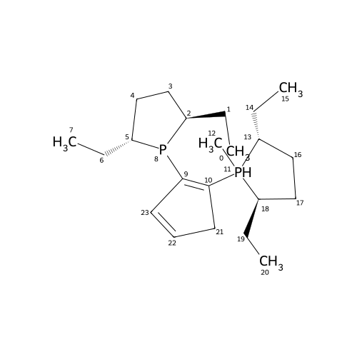 CC[C@@H]1CC[C@@H](CC)P1C1=C([PH]2(C)[C@H](CC)CC[C@H]2CC)CC=C1